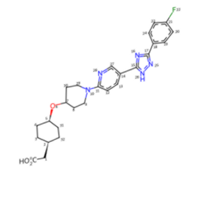 O=C(O)C[C@H]1CC[C@@H](OC2CCN(c3ccc(-c4nc(-c5ccc(F)cc5)n[nH]4)cn3)CC2)CC1